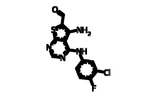 Nc1c(C=O)sc2ncnc(Nc3ccc(F)c(Cl)c3)c12